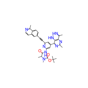 CNc1c(C(C)=N)nc(C)nc1-c1cc(C#Cc2ccc3c(C)nccc3c2)nc(NC(=O)C(C)N(C)C(=O)OC(C)(C)C)c1